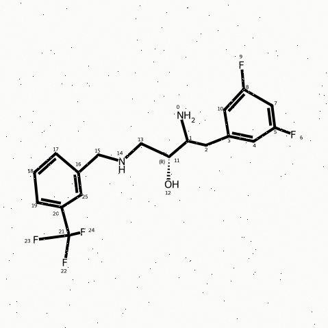 NC(Cc1cc(F)cc(F)c1)[C@H](O)CNCc1cccc(C(F)(F)F)c1